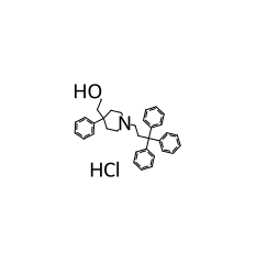 Cl.OCCC1(c2ccccc2)CCN(CCC(c2ccccc2)(c2ccccc2)c2ccccc2)CC1